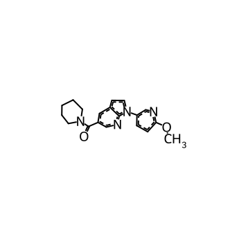 COc1ccc(-n2ccc3cc(C(=O)N4CCCCC4)cnc32)cn1